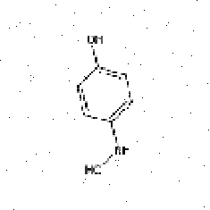 ONc1ccc(O)cc1